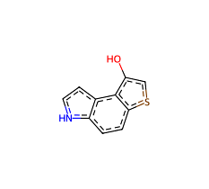 Oc1csc2ccc3[nH]ccc3c12